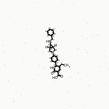 CCc1cc(C(=O)O)c(=O)[nH]c1-c1ccc(N2C[C@@H]3C(NCc4ccccc4)[C@@H]3C2)cc1